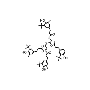 Cc1cc(CCC(=O)OCC(OC(=O)CCc2cc(C)c(O)c(C(C)(C)C)c2)SC(COC(=O)CCc2cc(C)c(O)c(C(C)(C)C)c2)OC(=O)CCc2cc(C)c(O)c(C(C)(C)C)c2)cc(C(C)(C)C)c1O